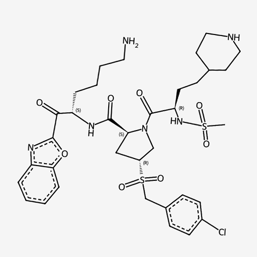 CS(=O)(=O)N[C@H](CCC1CCNCC1)C(=O)N1C[C@H](S(=O)(=O)Cc2ccc(Cl)cc2)C[C@H]1C(=O)N[C@@H](CCCCN)C(=O)c1nc2ccccc2o1